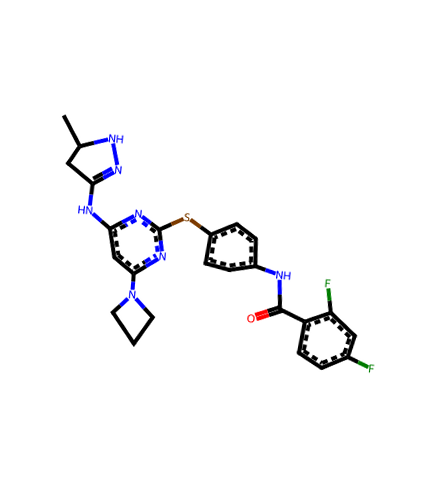 CC1CC(Nc2cc(N3CCC3)nc(Sc3ccc(NC(=O)c4ccc(F)cc4F)cc3)n2)=NN1